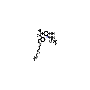 CCC(C)(C)OC(=O)N/C=C1/CC(N(C(=O)C2=C3CCN(CCCCOCN=[N+]=[N-])C3CC=C2)C2CC2)CCC1=N